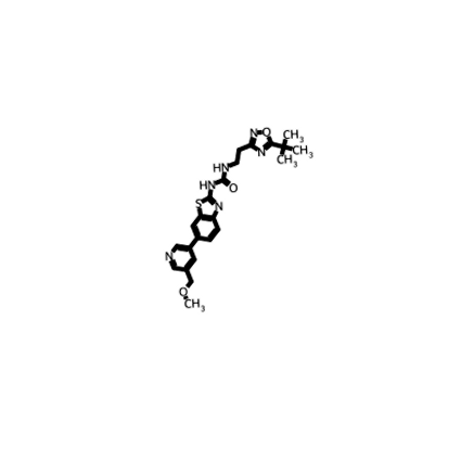 COCc1cncc(-c2ccc3nc(NC(=O)NCCc4noc(C(C)(C)C)n4)sc3c2)c1